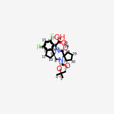 CC(C)(C)OC(=O)N1C[C@]2(CCc3c(F)cc(F)cc32)N(CC(=O)O)C(=O)C12CCCC2